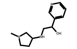 CN1CCC(NCC(O)c2cccnc2)C1